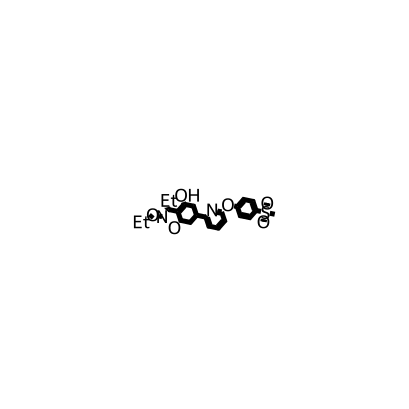 CCON=C(CC)C1=C(O)CC(c2cccc(Oc3ccc(S(C)(=O)=O)cc3)n2)CC1=O